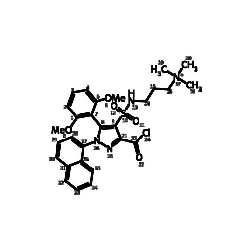 COc1cccc(OC)c1-c1c(S(=O)(=O)NCCC[N+](C)(C)C)c(C(=O)Cl)nn1-c1cccc2ccccc12